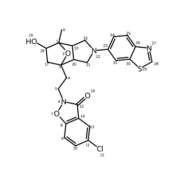 CC12OC(CCn3oc4ccc(Cl)cc4c3=O)(CC1O)C1CN(c3ccc4ncsc4c3)CC12